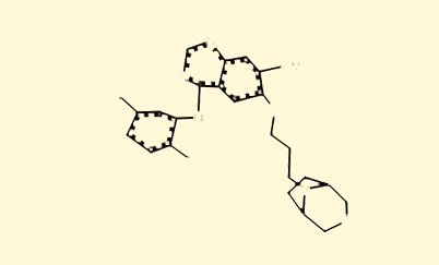 COc1cc2ncnc(Nc3cc(Cl)ccc3F)c2cc1OCCCN1C2CCC1COC2